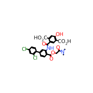 CN(C)C(=O)COC(=O)c1ccc(-c2ccc(Cl)cc2Cl)cc1NC(=O)c1cc(C(=O)O)c(O)cc1C(=O)O